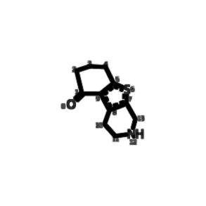 O=C1CCCc2sc3c(c21)CCNC3